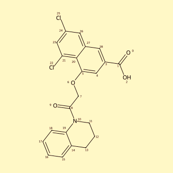 O=C(O)c1cc(OCC(=O)N2CCCc3ccccc32)c2c(Cl)cc(Cl)cc2c1